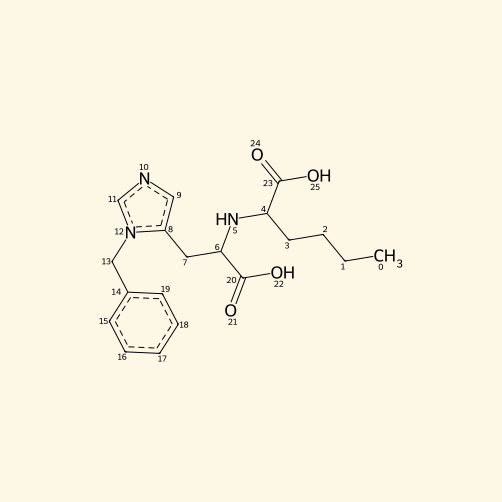 CCCCC(NC(Cc1cncn1Cc1ccccc1)C(=O)O)C(=O)O